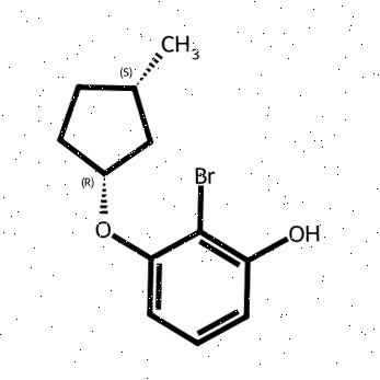 C[C@H]1CC[C@@H](Oc2cccc(O)c2Br)C1